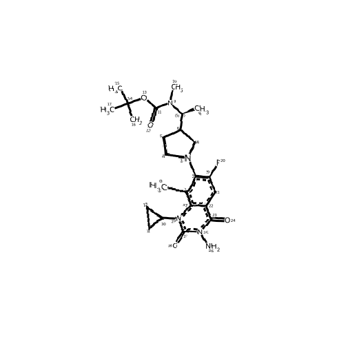 Cc1c(N2CCC([C@H](C)N(C)C(=O)OC(C)(C)C)C2)c(F)cc2c(=O)n(N)c(=O)n(C3CC3)c12